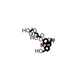 C[C@H](OC(=O)C[C@H](O)C(=O)OC1=CC[C@@]2(O)[C@H]3Cc4ccc(CO)c5c4[C@@]2(CCN3C)[C@H]1O5)C(=O)O